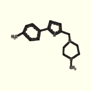 Cc1ccc(-c2ccc(CN3CCN(C)CC3)s2)cc1